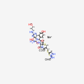 NC(=O)N(c1cnc(NCCCO)nc1O)C(C(=O)NC1C(=O)N2C(C(=O)[O-])=C(CSC3=CNN(NC=O)S3)CS[C@@H]12)c1ccc(O)cc1.[Na+]